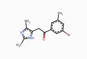 Cc1cc(Br)cc(C(=O)Cc2[nH]c(C)nc2[N+](=O)[O-])c1